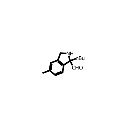 CCCCC1(C=O)NCc2cc(C)ccc21